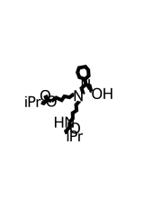 CC(C)CC(=O)NCCCCCN(CCCCCOC(=O)CC(C)C)CCN(CCO)C1CCCCCC1